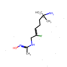 CC(=NO)NCC(F)=CCC[C@](C)(N)C(=O)O